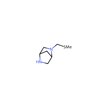 CSCN1CC2CC1CN2